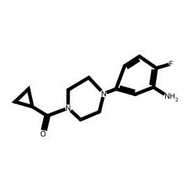 Nc1cc(N2CCN(C(=O)C3CC3)CC2)ccc1F